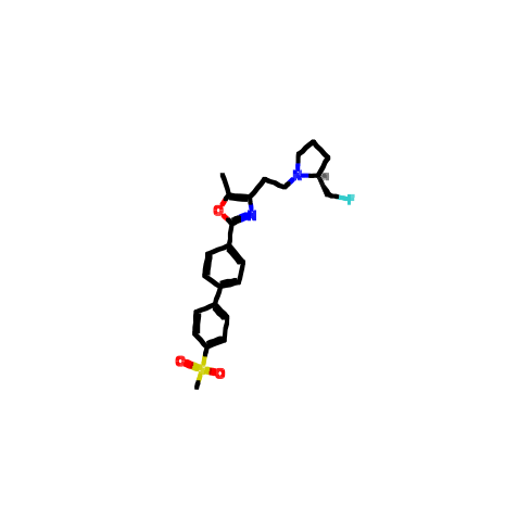 Cc1oc(-c2ccc(-c3ccc(S(C)(=O)=O)cc3)cc2)nc1CCN1CCC[C@H]1CF